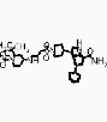 CC(C)(C)C1CC(NCCCS(=O)(=O)N2CCC(c3c[nH]c4c(C(N)=O)cc(-c5ccccc5)cc34)CC2)CCN1C(=O)O